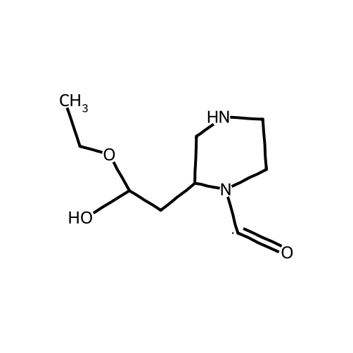 CCOC(O)CC1CNCCN1[C]=O